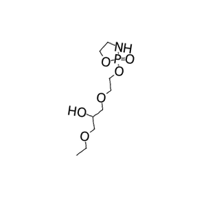 CCOCC(O)COCCOP1(=O)NCCO1